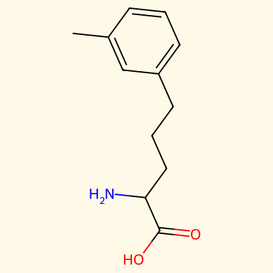 Cc1cccc(CCCC(N)C(=O)O)c1